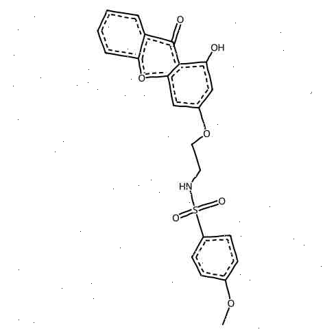 COc1ccc(S(=O)(=O)NCCOc2cc(O)c3c(=O)c4ccccc4oc3c2)cc1